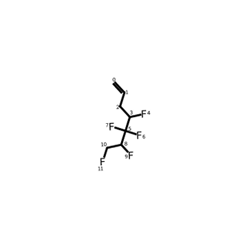 C=CCC(F)C(F)(F)C(F)CF